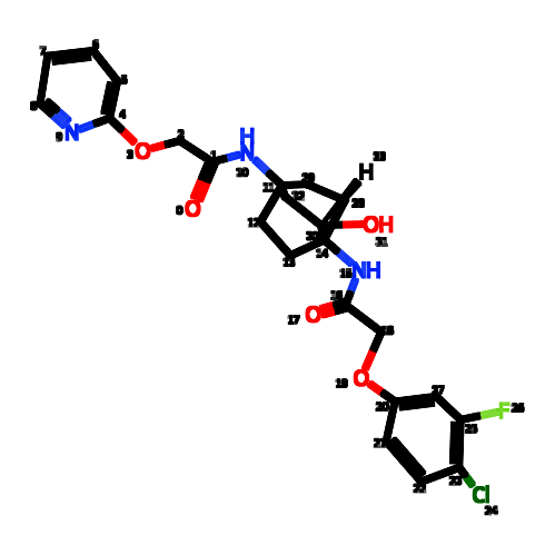 O=C(COc1ccccn1)NC12CCC(NC(=O)COc3ccc(Cl)c(F)c3)(CC1)[C@@H](O)C2